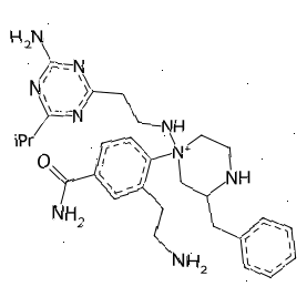 CC(C)c1nc(N)nc(CCN[N+]2(c3ccc(C(N)=O)cc3CCN)CCNC(Cc3ccccc3)C2)n1